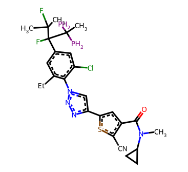 CCc1cc(C(F)(C(C)(C)F)C(C)(P)P)cc(Cl)c1-n1cc(-c2cc(C(=O)N(C)C3CC3)c(C#N)s2)nn1